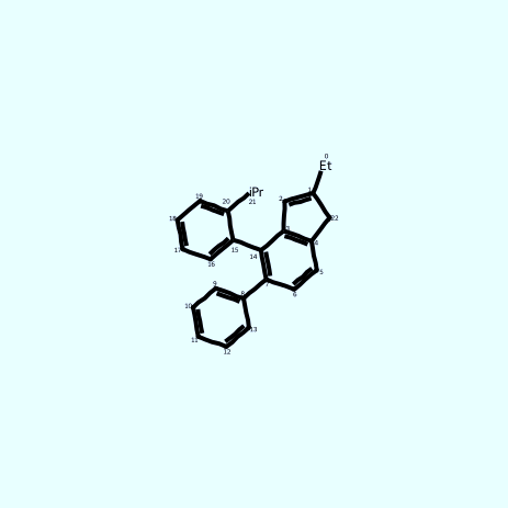 CCC1=Cc2c(ccc(-c3ccccc3)c2-c2ccccc2C(C)C)[CH]1